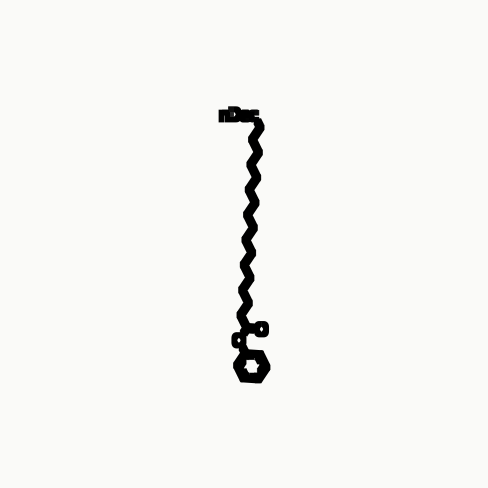 CCCCCCCCCCCCCCCCCCCCCCCCCCC(=O)Oc1ccccc1